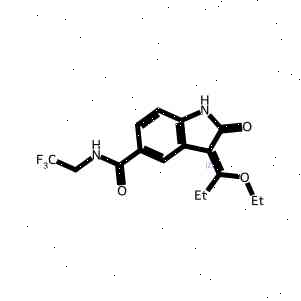 CCO/C(CC)=C1\C(=O)Nc2ccc(C(=O)NCC(F)(F)F)cc21